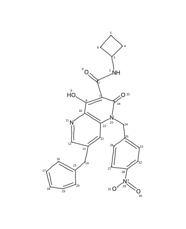 O=C(NC1CCC1)c1c(O)c2ncc(Cc3ccccc3)cc2n(Cc2ccc([N+](=O)[O-])cc2)c1=O